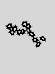 c1ccc(-n2c3ccccc3c3ccc(-c4ccc5c6ccc7ccccc7c6n(-c6ccc7ccc(-c8ccc9c%10c(cccc8%10)-c8ccccc8-9)cc7c6)c5c4)cc32)cc1